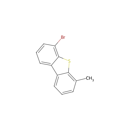 Cc1cccc2c1sc1c(Br)cccc12